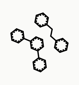 c1ccc(-c2cccc(-c3ccccc3)c2)cc1.c1ccc(CCc2ccccc2)cc1